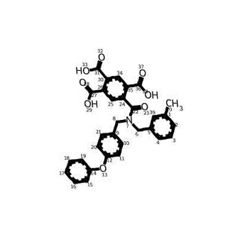 Cc1cccc(CN(Cc2ccc(Oc3ccccc3)cc2)C(=O)c2cc(C(=O)O)c(C(=O)O)cc2C(=O)O)c1